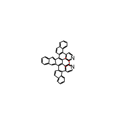 c1ccc2cc3c(-c4ccc5ccccc5c4-c4ccncc4)c4ccccc4c(-c4ccc5ccccc5c4-c4ccncc4)c3cc2c1